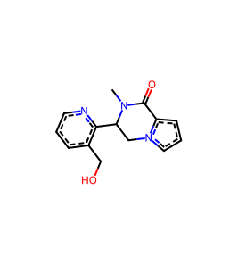 CN1C(=O)c2cccn2CC1c1ncccc1CO